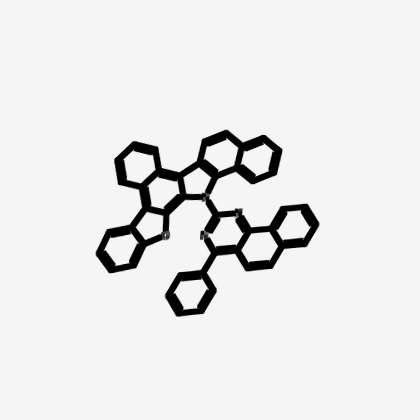 c1ccc(-c2nc(-n3c4c5ccccc5ccc4c4c5ccccc5c5c6ccccc6oc5c43)nc3c2ccc2ccccc23)cc1